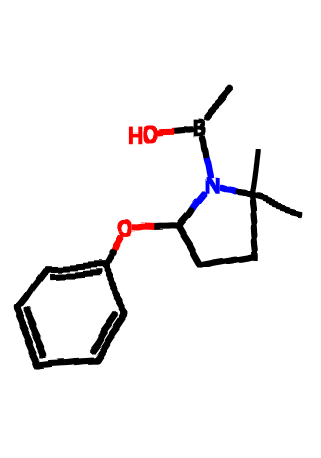 CB(O)N1C(Oc2ccccc2)CCC1(C)C